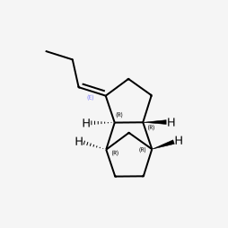 CC/C=C1\CC[C@@H]2[C@@H]3CC[C@H](C3)[C@@H]12